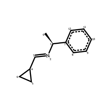 C[C@H](/N=C/C1CC1)c1ccccc1